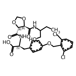 CCC(CO)NC(=O)[C@@H]1OCO[C@H]1C(=O)N[C@@H](Cc1ccc(OCc2c(Cl)cccc2Cl)cc1)C(=O)O